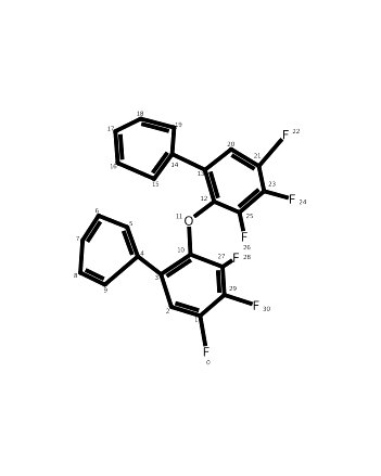 Fc1cc(-c2ccccc2)c(Oc2c(-c3ccccc3)cc(F)c(F)c2F)c(F)c1F